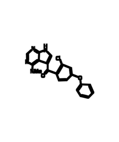 CNc1ncnc2[nH]cc(C(=O)c3ccc(Oc4ccccc4)cc3Cl)c12